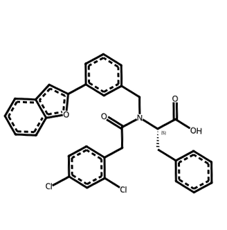 O=C(O)[C@H](Cc1ccccc1)N(Cc1cccc(-c2cc3ccccc3o2)c1)C(=O)Cc1ccc(Cl)cc1Cl